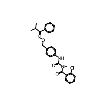 CC(C)C(=NOCc1ccc(NC(=O)NC(=O)c2ccccc2Cl)cc1)c1ccccc1